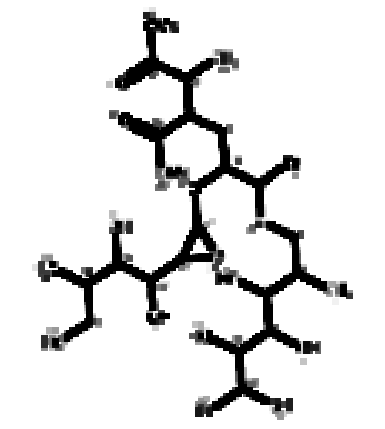 CCC(OCC(C)C(O)C(O)C(O)C(O)C(C)C)C(CC(C(=O)OC)C(C)C(=O)OC)OC1OC1C(O)C(O)C(C)CO